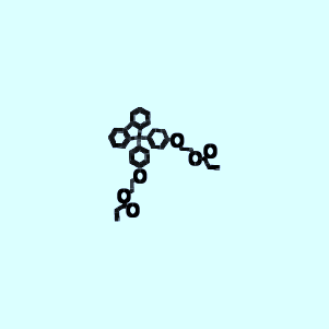 C=CC(=O)OCCOC1=CC=C(C2(c3ccc(OCCOC(=O)C=C)cc3)c3ccccc3-c3ccccc32)CC1